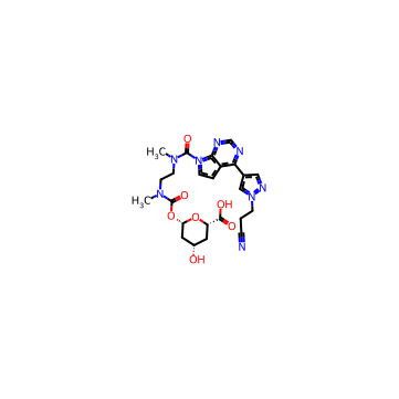 CN(CCN(C)C(=O)n1ccc2c(-c3cnn(CCC#N)c3)ncnc21)C(=O)O[C@H]1C[C@@H](O)C[C@@H](C(=O)O)O1